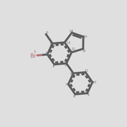 Cc1c(Br)cc(-c2ccccc2)c2c1C=CC2